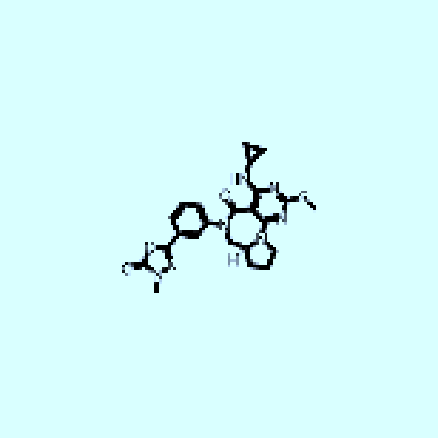 CSc1nc(NC2CC2)c2c(n1)N1CCC[C@H]1CN(c1cccc(-c3nn(C)c(=O)o3)c1)C2=O